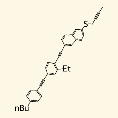 CC#CCSc1ccc2cc(C#Cc3ccc(C#Cc4ccc(CCCC)cc4)cc3CC)ccc2c1